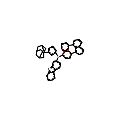 c1ccc(-c2cccc3cccc(-c4ccc(N(c5cccc(C67CC8CC(CC(C8)C6)C7)c5)c5ccc6c(c5)oc5ccccc56)cc4)c23)cc1